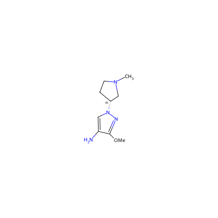 COc1nn([C@@H]2CCN(C)C2)cc1N